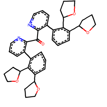 O=C(c1ncccc1-c1cccc(C2CCCO2)c1C1CCCO1)c1ncccc1-c1cccc(C2CCCO2)c1C1CCCO1